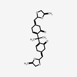 C=C1COC(C=C2CC=C(C(C)(C)C3=CCC(=CC4OCC(=C)O4)CC3=O)C(=O)C2)O1